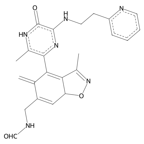 C=C1C(CNC=O)=CC2ON=C(C)C2=C1c1nc(NCCc2ccccn2)c(=O)[nH]c1C